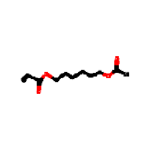 C=CC(=O)OCCCCCCOC(=O)CC